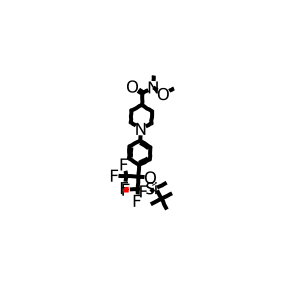 CON(C)C(=O)C1CCN(c2ccc(C(O[Si](C)(C)C(C)(C)C)(C(F)(F)F)C(F)(F)F)cc2)CC1